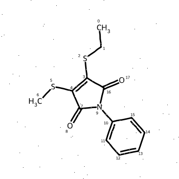 CCSC1=C(SC)C(=O)N(c2ccccc2)C1=O